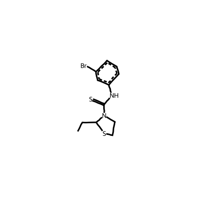 CCC1SCCN1C(=S)Nc1cccc(Br)c1